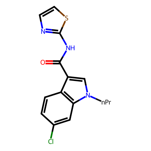 CCCn1cc(C(=O)Nc2nccs2)c2ccc(Cl)cc21